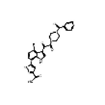 O=C(O)c1cc(-c2ccc(F)c3c(C(=O)C(=O)N4CCN(C(=O)c5ccccc5)CC4)c[nH]c23)[nH]n1